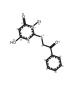 CCn1c(SCC(=O)c2ccccc2)nc(O)cc1=O